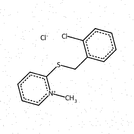 C[n+]1ccccc1SCc1ccccc1Cl.[Cl-]